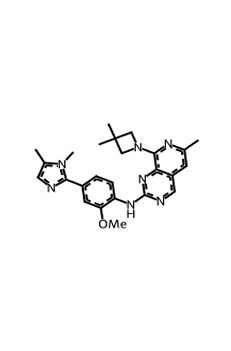 COc1cc(-c2ncc(C)n2C)ccc1Nc1ncc2cc(C)nc(N3CC(C)(C)C3)c2n1